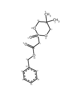 CC1(C)COP(=O)(CC(=O)OCc2ccccc2)OC1